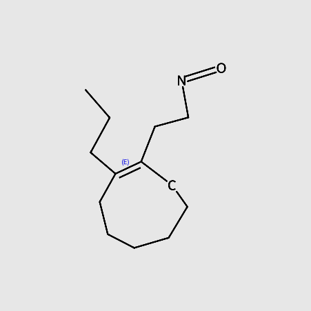 CCC/C1=C(\CCN=O)CCCCCC1